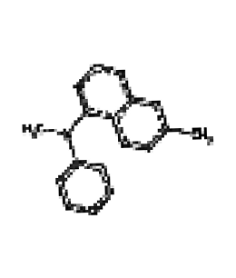 Cc1ccc2c(N(C)c3ccccc3)cccc2c1